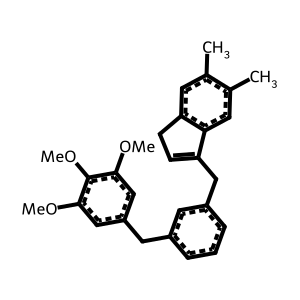 COc1cc(Cc2cccc(CC3=CCc4cc(C)c(C)cc43)c2)cc(OC)c1OC